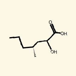 CCC[C@@H](C)CC(O)C(=O)O